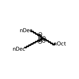 CCCCCCCC/C=C\CCCCCCCC(=O)O[C@@H](COC(=O)CCCCCCCCCCCCCCCCC)COC(=O)CCCCCCCCCCCCCCCCCCCCCCC